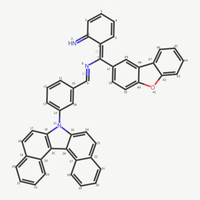 N=C1C=CC=C/C1=C(/N=C/c1cccc(-n2c3ccc4ccccc4c3c3c4ccccc4ccc32)c1)c1ccc2oc3ccccc3c2c1